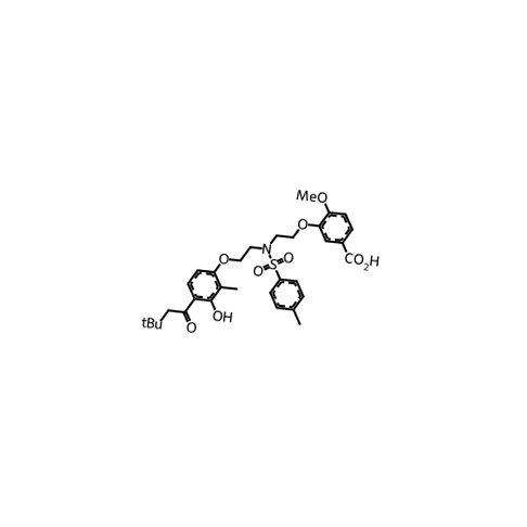 COc1ccc(C(=O)O)cc1OCCN(CCOc1ccc(C(=O)CC(C)(C)C)c(O)c1C)S(=O)(=O)c1ccc(C)cc1